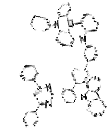 c1ccc(-c2cc(-c3ccccc3)nc(-c3ccc(-n4c5ccccc5c5ccccc54)c(-c4ccc(-c5cccc(N6c7ccccc7B7c8ccccc8N(c8ccccc8)c8cccc6c87)c5)cc4)c3)n2)cc1